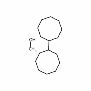 C1CCCC(C2CCCCCCC2)CCC1.CO